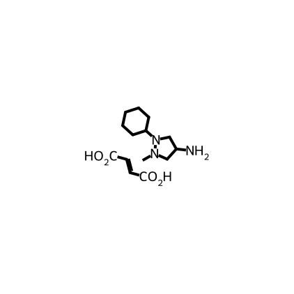 CN1CC(N)CN1C1CCCCC1.O=C(O)/C=C/C(=O)O